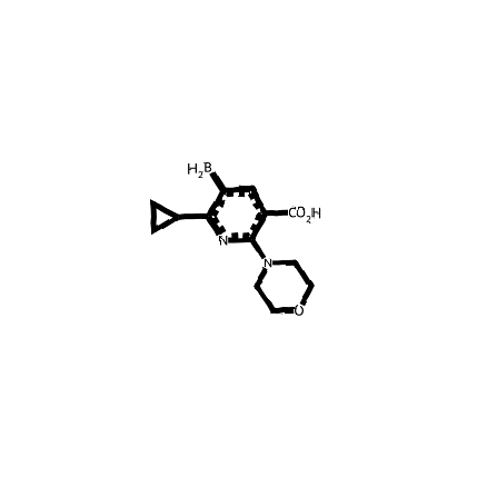 Bc1cc(C(=O)O)c(N2CCOCC2)nc1C1CC1